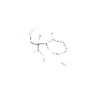 O=C[C@H](O)[C@@H](O)[C@](O)(C1O[C@@H](CO)[C@@H](O)[C@@H](O)[C@@H]1O)[C@H](O)CO